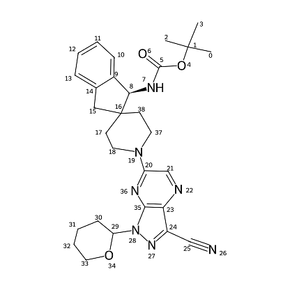 CC(C)(C)OC(=O)N[C@@H]1c2ccccc2CC12CCN(c1cnc3c(C#N)nn(C4CCCCO4)c3n1)CC2